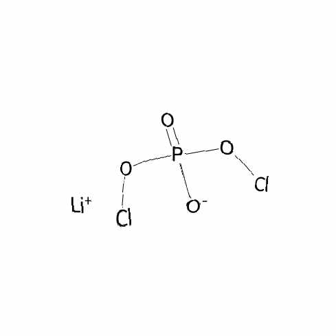 O=P([O-])(OCl)OCl.[Li+]